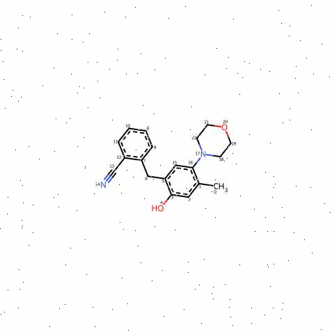 Cc1cc(O)c(Cc2ccccc2C#N)cc1N1CCOCC1